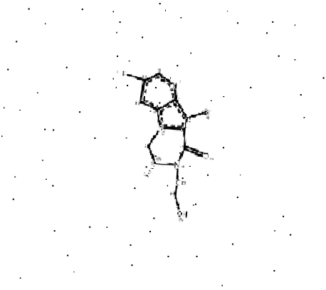 C[C@@H]1Cn2c(c(Br)c3ncc(F)cc32)C(=O)N1CCO